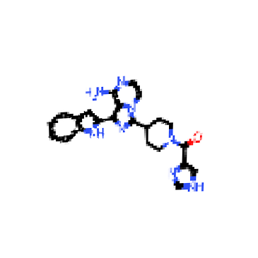 Nc1nccn2c(C3CCN(C(=O)c4c[nH]cn4)CC3)nc(-c3cc4ccccc4[nH]3)c12